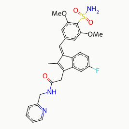 COc1cc(/C=C2/C(C)=C(CC(=O)NCc3ccccn3)c3cc(F)ccc32)cc(OC)c1S(N)(=O)=O